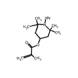 C=C(C)C(=O)OC1CC(C)(C)N(CCC)C(C)(C)C1